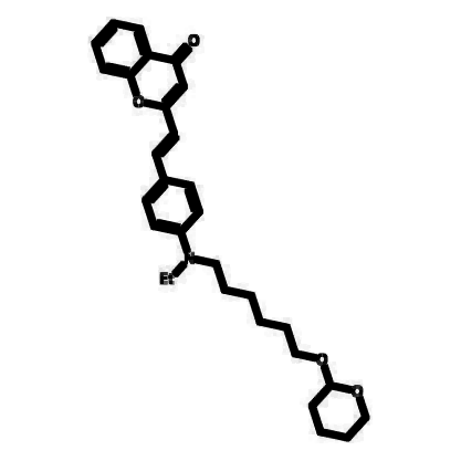 CCN(CCCCCCOC1CCCCO1)c1ccc(C=Cc2cc(=O)c3ccccc3o2)cc1